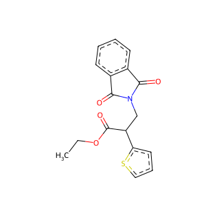 CCOC(=O)C(CN1C(=O)c2ccccc2C1=O)c1cccs1